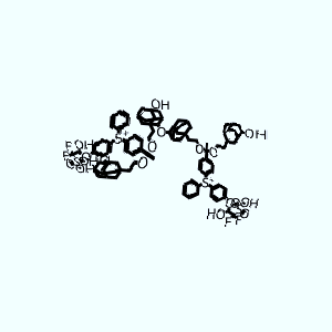 CC(OCCC12CCC3CC(O)C(CC3C1)C2)(OCCC12CC3CC(C1)C(OC1C4CC5CC(O)(C4)CC1(CCOC(C)(OCCC14CC6CC(CC(O)(C6)C1)C4)c1ccc([S+](c4ccccc4)c4ccc(OC(O)C(F)(F)S(=O)(=O)O)cc4)cc1)C5)C(C3)C2)c1ccc([S+](c2ccccc2)c2ccc(OC(O)C(F)(F)S(=O)(=O)O)cc2)cc1